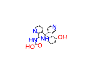 O=C(O)NC1NC(c2ccncc2)(c2cccc(O)c2)c2cccnc21